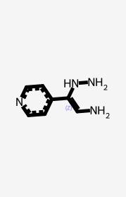 N/C=C(\NN)c1ccncc1